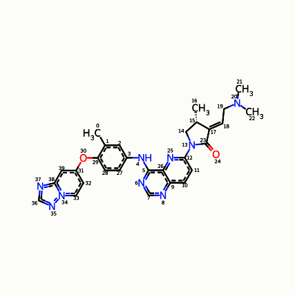 Cc1cc(Nc2ncnc3ccc(N4C[C@H](C)/C(=C\CN(C)C)C4=O)nc23)ccc1Oc1ccn2ncnc2c1